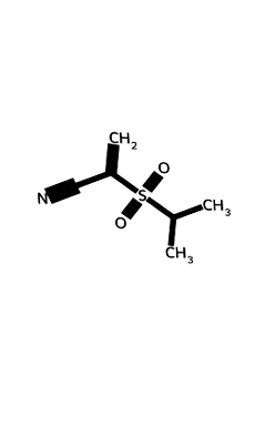 C=C(C#N)S(=O)(=O)C(C)C